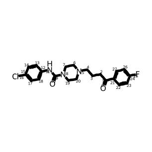 O=C(CCCN1CCN(C(=O)Nc2ccc(Cl)cc2)CC1)c1ccc(F)cc1